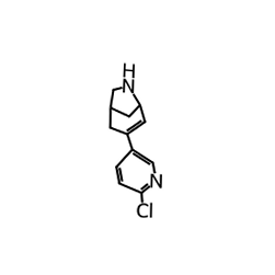 Clc1ccc(C2=CC3CC(CN3)C2)cn1